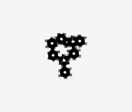 c1ccc(-c2cccc(-c3nc(-c4ccccc4)nc(-c4cccc(-c5c6ccccc6nc6c5sc5ccccc56)c4)n3)c2)cc1